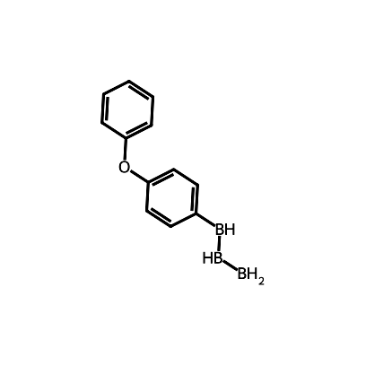 BBBc1ccc(Oc2ccccc2)cc1